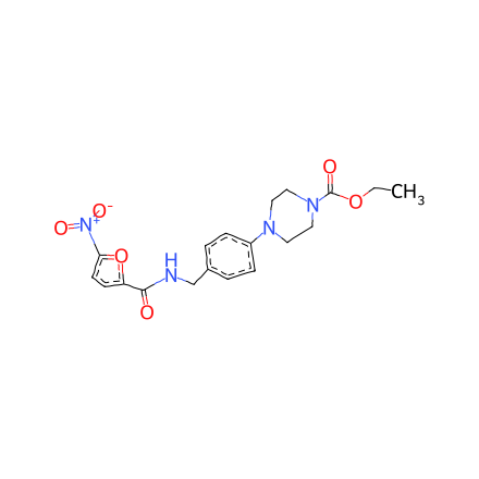 CCOC(=O)N1CCN(c2ccc(CNC(=O)c3ccc([N+](=O)[O-])o3)cc2)CC1